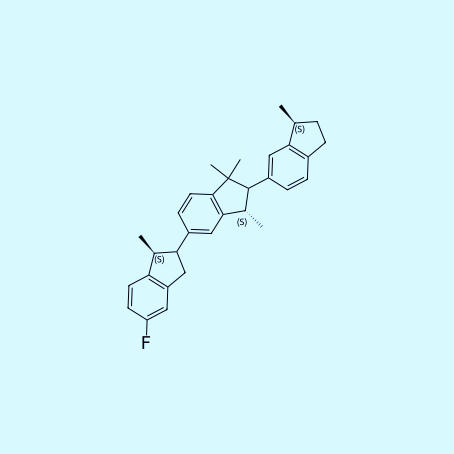 C[C@@H]1c2ccc(F)cc2CC1c1ccc2c(c1)[C@@H](C)C(c1ccc3c(c1)[C@@H](C)CC3)C2(C)C